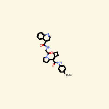 COc1ccc(NC(=O)C(=C2CCC2)C2CCCN2C(=O)CNC(=O)c2ccnc3ccccc23)cc1